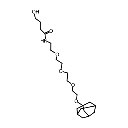 O=C(CCCO)NCCOCCOCCOCCOC12CC3CC(CC(C3)C1)C2